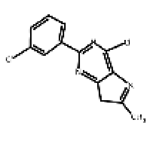 CC1=Nc2c(Cl)nc(-c3cccc(Cl)c3)nc2C1